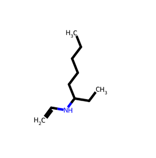 C=CNC(CC)CCCCC